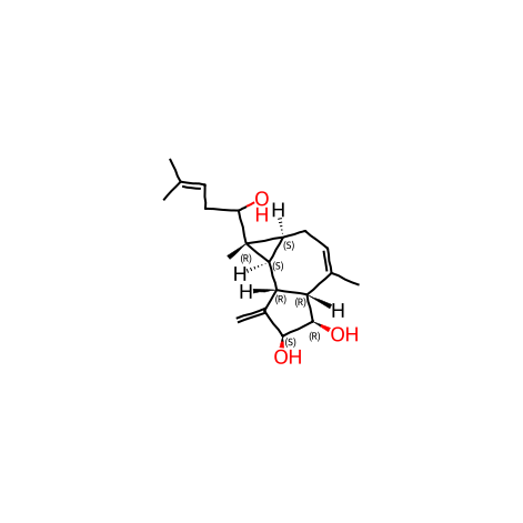 C=C1[C@H]2[C@H](C(C)=CC[C@H]3[C@@H]2[C@]3(C)C(O)CC=C(C)C)[C@@H](O)[C@H]1O